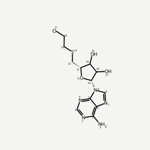 Nc1ncnc2c1ncn2[C@@H]1O[C@H](CSCCCl)C(O)C1O